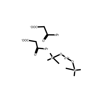 CCCC(=O)CC(=O)[O-].CCCC(=O)CC(=O)[O-].C[Si](C)(C)[O][Zr+2][O][Si](C)(C)C